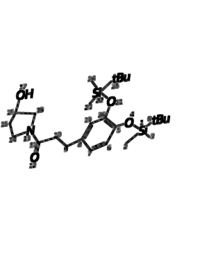 CC(C)(C)[Si](C)(C)Oc1ccc(CCC(=O)N2CCC(O)C2)cc1O[Si](C)(C)C(C)(C)C